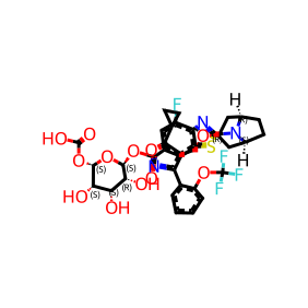 O=C(O)O[C@@H]1O[C@@H](OC(=O)c2cc(F)c3nc(N4[C@@H]5CC[C@H]4C[C@@H](OCc4c(-c6ccccc6OC(F)(F)F)noc4C4CC4)C5)sc3c2)[C@H](O)[C@H](O)[C@@H]1O